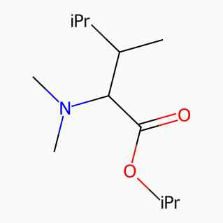 CC(C)OC(=O)C(C(C)C(C)C)N(C)C